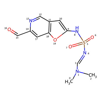 CN(C)C=NS(=O)(=O)Nc1cc2cnc(C=O)cc2o1